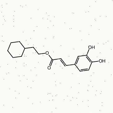 O=C(/C=C/c1ccc(O)c(O)c1)OCCC1CCCCC1